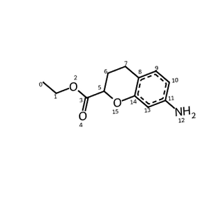 CCOC(=O)C1CCc2ccc(N)cc2O1